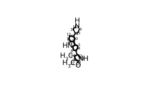 Cc1c(-c2ccc3c(c2)[nH]c2ccc(C4CCNCC4)cc23)c[nH]c(=O)c1C